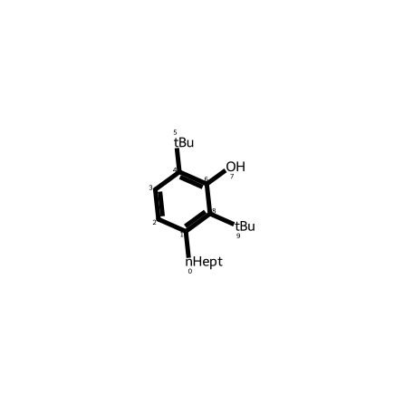 CCCCCCCc1ccc(C(C)(C)C)c(O)c1C(C)(C)C